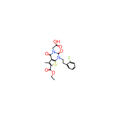 CCOC(=O)c1sc2c(c1C)c(=O)n(CC(=O)O)c(=O)n2CCc1ccccc1F